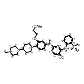 COCCOc1cc(Nc2ncc(Cl)c(Nc3ccccc3P(C)(C)=O)n2)ccc1N1CCC(N2CCN(C)CC2)CC1